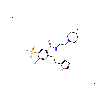 NS(=O)(=O)c1cc(C(=O)NCCN2CCCCC2)c(NCc2ccco2)cc1Cl